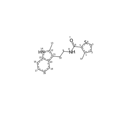 Cc1ccsc1C(=O)NCCc1c(C)[nH]c2ccccc12